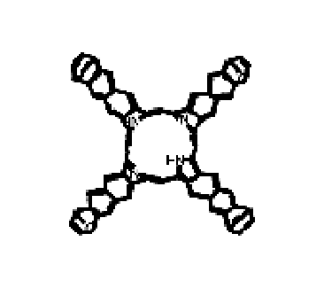 C1=CC2CCC1c1cc3cc4c(cc3cc12)-c1cc2[nH]c(cc3nc(cc5[nH]c(cc-4n1)c1cc4cc6c(cc4cc51)C1C=CC6CC1)-c1cc4cc5c(cc4cc1-3)C1C=CC5CC1)c1cc3cc4c(cc3cc21)C1C=CC4CC1